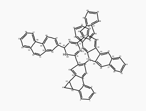 c1ccc2c(c1)-c1cc(-n3c4cc5ccccc5cc4c4cc5ccccc5cc43)c(C3=NC(c4ccc5ccccc5c4)=NC(c4ccc5c(ccc6ccccc65)c4)N3)cc1C1CC21